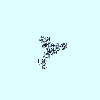 COC[C@@H](C)NCc1ccc2c(c1)nc(NC(=O)c1ccc(-c3cnco3)s1)n2C[C@H]1CCCN1C(=O)C(C#N)=CC(C)(C)C